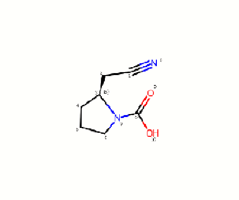 N#CC[C@@H]1CCCN1C(=O)O